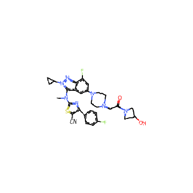 CN(c1nc(-c2ccc(F)cc2)c(C#N)s1)c1c2cc(N3CCN(CC(=O)N4CC(O)C4)CC3)cc(F)c2nn1C1CC1